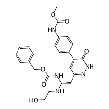 COC(=O)Nc1ccc(-c2cc(C[C@@H](NCCO)NC(=O)OCc3ccccc3)n[nH]c2=O)cc1